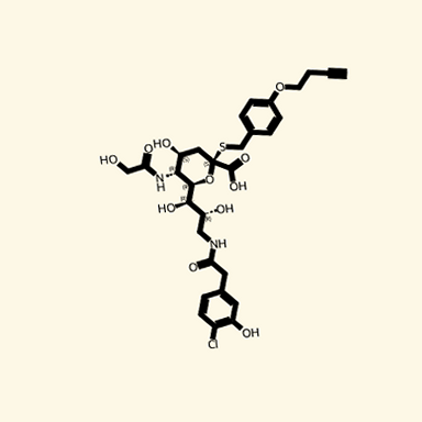 C#CCCOc1ccc(CS[C@]2(C(=O)O)C[C@H](O)[C@@H](NC(=O)CO)[C@H]([C@H](O)[C@H](O)CNC(=O)Cc3ccc(Cl)c(O)c3)O2)cc1